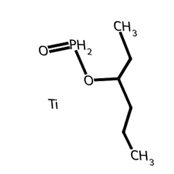 CCCC(CC)O[PH2]=O.[Ti]